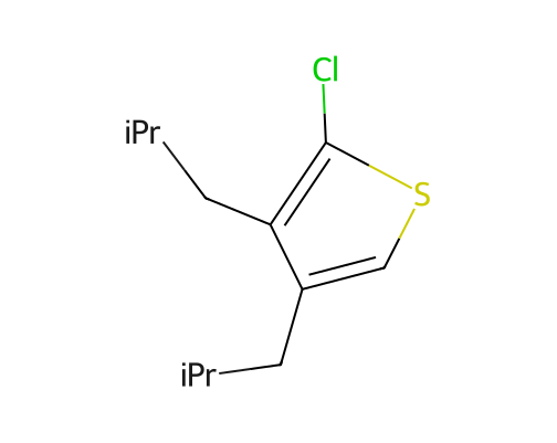 CC(C)Cc1csc(Cl)c1CC(C)C